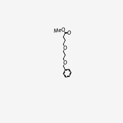 COC(=O)CCCOCCCOCc1ccccc1